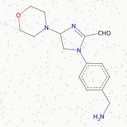 NCc1ccc(N2CC(N3CCOCC3)N=C2C=O)cc1